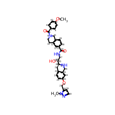 COc1ccc(C(=O)N2CCc3cc(C(=O)NC[C@@H](O)[C@@H]4Cc5ccc(OCc6ccnn6C)cc5CN4)ccc3C2)cc1